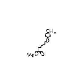 COC(=O)CCCCCOc1ccc(C)cc1